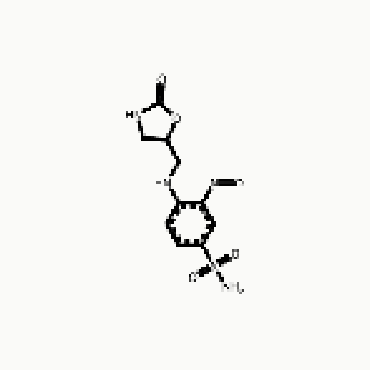 NS(=O)(=O)c1ccc(NCC2CNC(=O)O2)c(N=O)c1